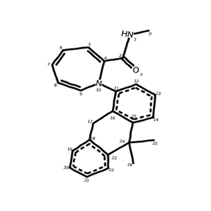 CNC(=O)C1=CC=CC=CN1c1cccc2c1Cc1ccccc1C2(C)C